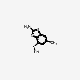 Cc1cc(SC#N)c2nc(N)sc2c1